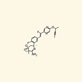 CC#CC(C)Oc1cnc(/C(F)=C/c2ccc(F)c([C@]3(C)CS(=O)(=O)C(C)(C)C(N)=N3)c2)cn1